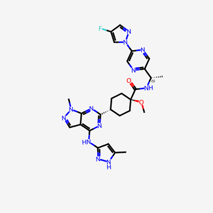 CO[C@]1(C(=O)N[C@@H](C)c2cnc(-n3cc(F)cn3)cn2)CC[C@@H](c2nc(Nc3cc(C)[nH]n3)c3cnn(C)c3n2)CC1